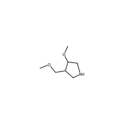 COCC1CNCC1OC